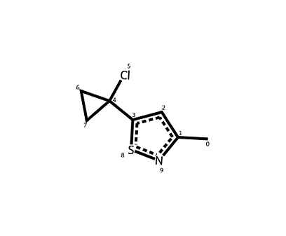 Cc1cc(C2(Cl)CC2)sn1